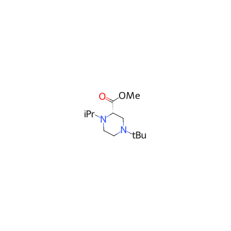 COC(=O)[C@@H]1CN(C(C)(C)C)CCN1C(C)C